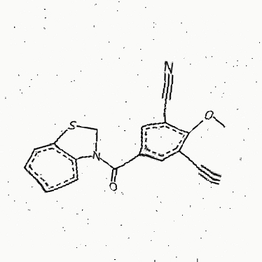 C#Cc1cc(C(=O)N2CSc3ccccc32)cc(C#N)c1OC